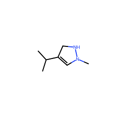 CC(C)C1=CN(C)NC1